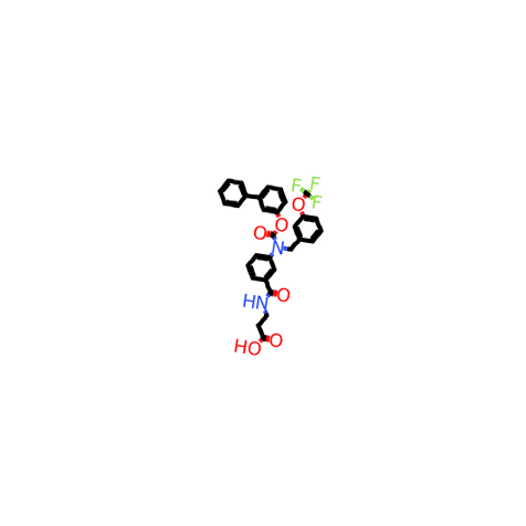 O=C(O)CCNC(=O)c1cccc(N(Cc2cccc(OC(F)(F)F)c2)C(=O)Oc2cccc(-c3ccccc3)c2)c1